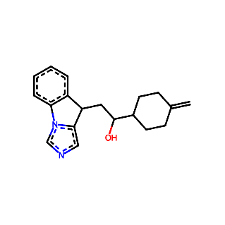 C=C1CCC(C(O)CC2c3ccccc3-n3cncc32)CC1